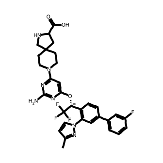 Cc1ccn(-c2cc(-c3cccc(F)c3)ccc2[C@@H](Oc2cc(N3CCC4(CC3)CNC(C(=O)O)C4)nc(N)n2)C(F)(F)F)n1